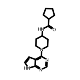 O=C(NC1CCN(c2ncnc3[nH]ccc23)CC1)C1CCCC1